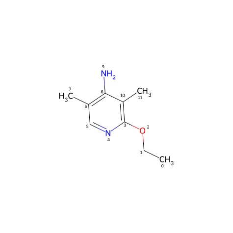 CCOc1ncc(C)c(N)c1C